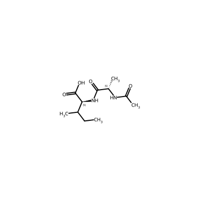 CCC(C)[C@H](NC(=O)[C@H](C)NC(C)=O)C(=O)O